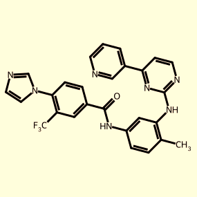 Cc1ccc(NC(=O)c2ccc(-n3ccnc3)c(C(F)(F)F)c2)cc1Nc1nccc(-c2cccnc2)n1